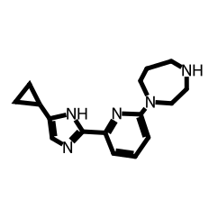 c1cc(-c2ncc(C3CC3)[nH]2)nc(N2CCCNCC2)c1